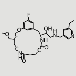 CCc1cncc(CNCC(O)C2Cc3cc(F)cc(c3)OCC(COC)CCNC(=O)CCCC(=O)N2)c1